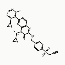 C#CCS(=O)(=O)c1ccc(CNc2nc3cnc(-c4c(C)ncnc4C4CC4)nc3n([C@@H](C)C3CC3)c2=O)cc1